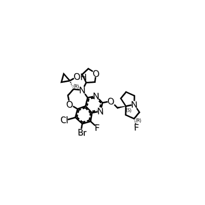 OC1([C@H]2COc3c(Cl)c(Br)c(F)c4nc(OC[C@@]56CCCN5C[C@H](F)C6)nc(c34)N2C2CCOC2)CC1